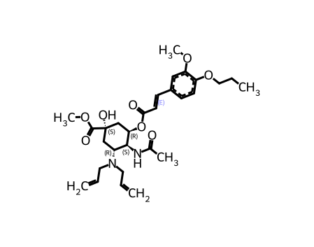 C=CCN(CC=C)[C@@H]1C[C@@](O)(C(=O)OC)C[C@@H](OC(=O)/C=C/c2ccc(OCCC)c(OC)c2)[C@H]1NC(C)=O